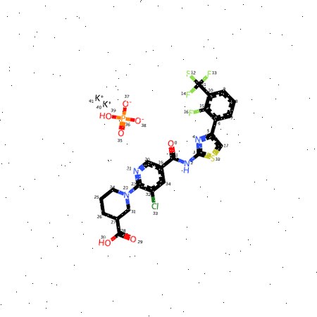 O=C(Nc1nc(-c2cccc(C(F)(F)F)c2F)cs1)c1cnc(N2CCCC(C(=O)O)C2)c(Cl)c1.O=P([O-])([O-])O.[K+].[K+]